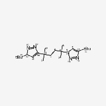 CC(C)(CCC(C)(C)n1cc(C(C)(C)C)nn1)C1=CC(C(C)(C)C)N=N1